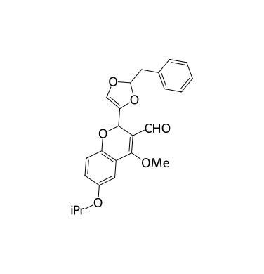 COC1=C(C=O)C(C2=COC(Cc3ccccc3)O2)Oc2ccc(OC(C)C)cc21